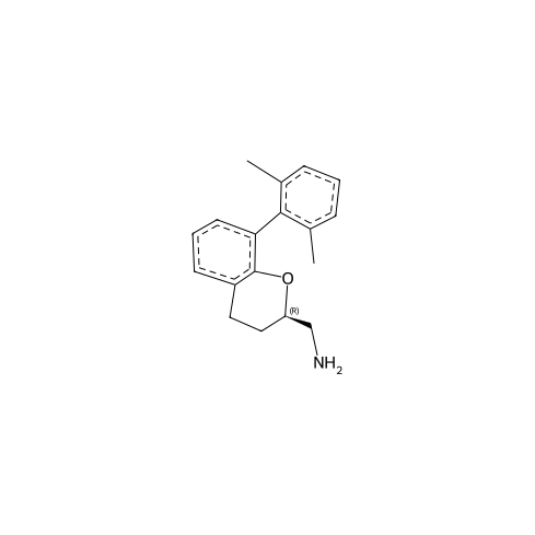 Cc1cccc(C)c1-c1cccc2c1O[C@@H](CN)CC2